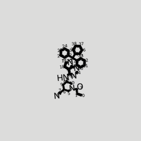 C=CC(=O)N1CC(C#N)C[C@@H](Nc2ncnc3c2ccn3C(c2ccccc2)(c2ccccc2)c2ccccc2)C1